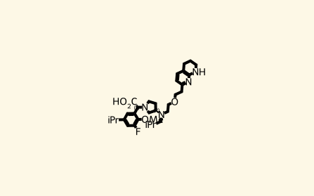 COc1c(F)cc(C(C)C)cc1[C@@H](C(=O)O)N1CC[C@@H](N(CCOCCc2ccc3c(n2)NCCC3)CC(C)C)C1